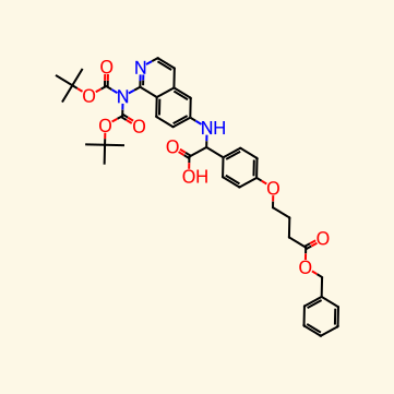 CC(C)(C)OC(=O)N(C(=O)OC(C)(C)C)c1nccc2cc(NC(C(=O)O)c3ccc(OCCCC(=O)OCc4ccccc4)cc3)ccc12